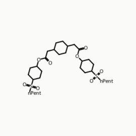 CCCCCS(=O)(=O)C1CCC(OC(=O)CC2CCC(CC(=O)OC3CCC(S(=O)(=O)CCCCC)CC3)CC2)CC1